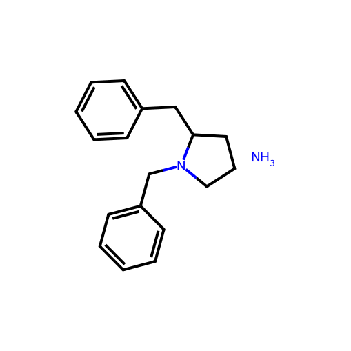 N.c1ccc(CC2CCCN2Cc2ccccc2)cc1